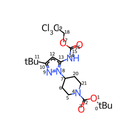 CC(C)(C)OC(=O)N1CCC(n2nc(C(C)(C)C)cc2NC(=O)OCC(Cl)(Cl)Cl)CC1